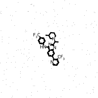 CC1CCCN(C(C)c2nc(Nc3ccc(C(F)(F)F)cc3)c3ccc(-c4ncccc4C(F)(F)F)cc3n2)C1